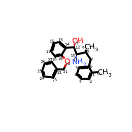 Cc1ccccc1CC(C)[C@@H](N)[C@H](O)c1ccccc1OCc1ccccc1